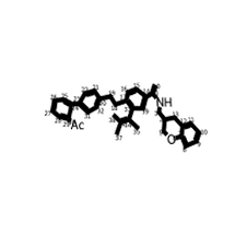 C=C(NCC1COc2ccccc2C1)c1ccc(CCc2ccc(-c3ccccc3C(C)=O)cc2)c(C(C)=C(C)C)c1